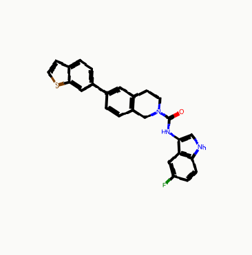 O=C(Nc1c[nH]c2ccc(F)cc12)N1CCc2cc(-c3ccc4ccsc4c3)ccc2C1